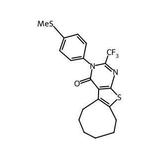 CSc1ccc(-n2c(C(F)(F)F)nc3sc4c(c3c2=O)CCCCCC4)cc1